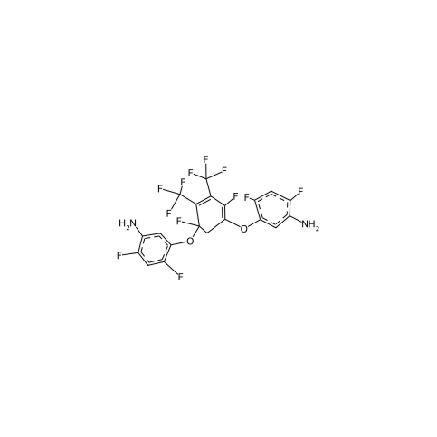 Nc1cc(OC2=C(F)C(C(F)(F)F)=C(C(F)(F)F)C(F)(Oc3cc(N)c(F)cc3F)C2)c(F)cc1F